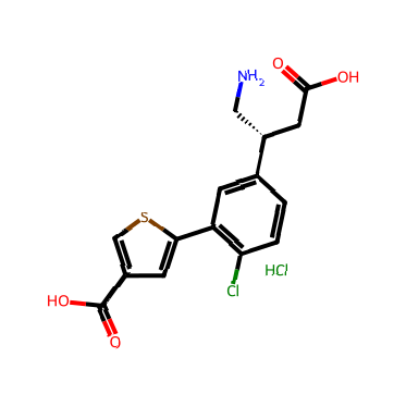 Cl.NC[C@H](CC(=O)O)c1ccc(Cl)c(-c2cc(C(=O)O)cs2)c1